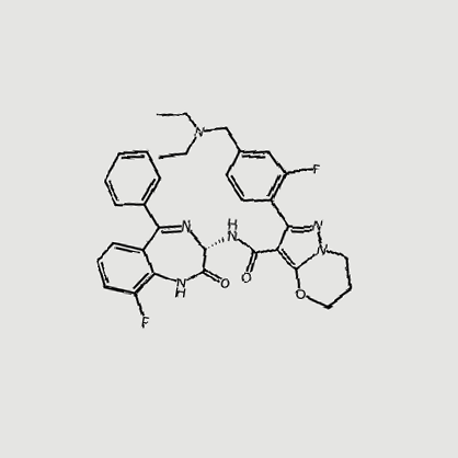 CCN(CC)Cc1ccc(-c2nn3c(c2C(=O)N[C@H]2N=C(c4ccccc4)c4cccc(F)c4NC2=O)OCCC3)c(F)c1